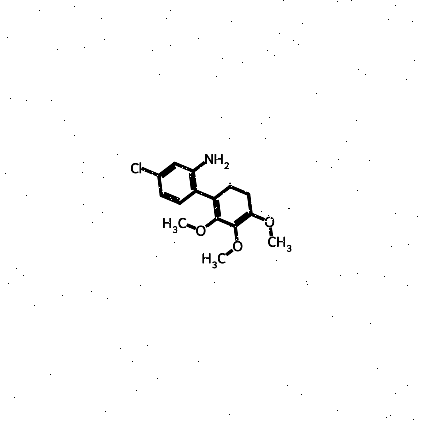 COC1=C(OC)C(OC)=C(c2ccc(Cl)cc2N)[CH]C1